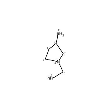 BC1CCN(CCCC)C1